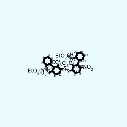 CCOC(=O)Nc1ccccc1-c1c([N+](=O)[O-])ccc(SSc2ccc([N+](=O)[O-])c(-c3ccccc3NC(=O)OCC)c2C(Cl)(Cl)Cl)c1C(Cl)(Cl)Cl